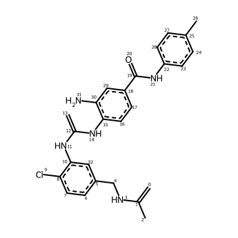 C=C(C)NCc1ccc(Cl)c(NC(=C)Nc2ccc(C(=O)Nc3ccc(C)cc3)cc2N)c1